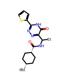 CCC(NC(=O)[C@H]1CC[C@@H](C(C)(C)C)CC1)c1nnc(-c2cccs2)[nH]c1=O